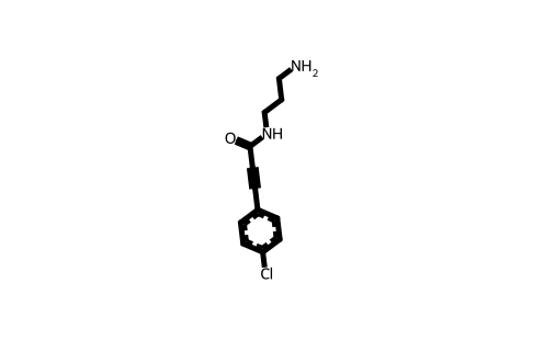 NCCCNC(=O)C#Cc1ccc(Cl)cc1